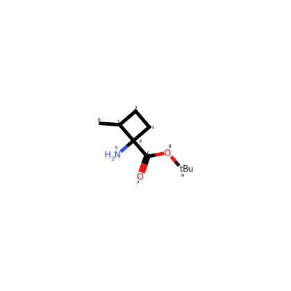 CC1CCC1(N)C(=O)OC(C)(C)C